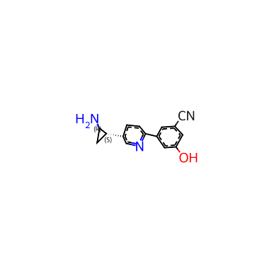 N#Cc1cc(O)cc(-c2ccc([C@@H]3C[C@H]3N)cn2)c1